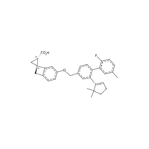 Cc1ccc(F)c(-c2ccc(COc3ccc4c(c3)[C@]3(C4)C[C@@H]3C(=O)O)cc2C2=CCCC2(C)C)c1